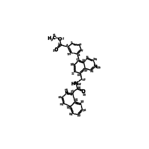 COC(=O)c1cccc(-c2ccc(CNC(=O)c3nccc4ccccc34)c3cnccc23)c1